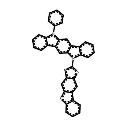 c1ccc(-n2c3ccccc3c3cc4c(cc32)c2ccccc2n4-c2nc3cc4sc5ccccc5c4cc3s2)cc1